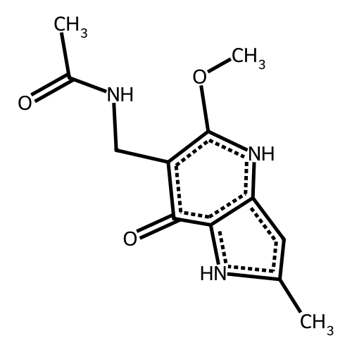 COc1[nH]c2cc(C)[nH]c2c(=O)c1CNC(C)=O